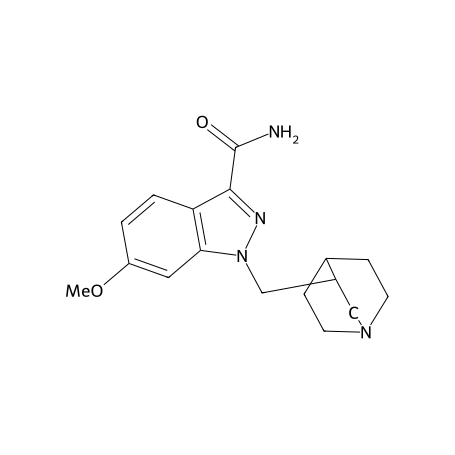 COc1ccc2c(C(N)=O)nn(CC3CN4CCC3CC4)c2c1